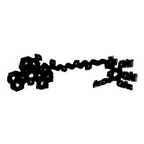 CC(=O)OCC1O[C@H](n2cc(CCCOCCOCCOCCC(=O)NCCN3C(=O)c4ccccc4C34c3cc5c6c(c3Oc3c4cc4c7c3CCCN7CCC4)CCCN6CCC5)nn2)C(OC(C)=O)[C@H](OC(C)=O)[C@H]1OC(C)=O